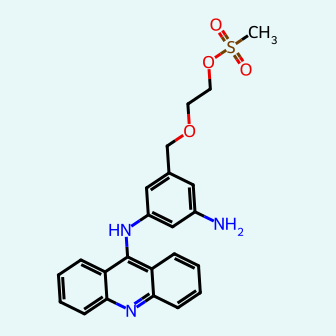 CS(=O)(=O)OCCOCc1cc(N)cc(Nc2c3ccccc3nc3ccccc23)c1